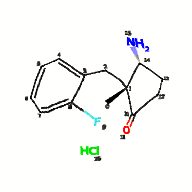 C[C@]1(Cc2ccccc2F)C(=O)CC[C@H]1N.Cl